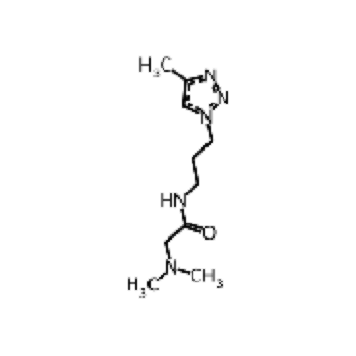 Cc1cn(CCCNC(=O)CN(C)C)nn1